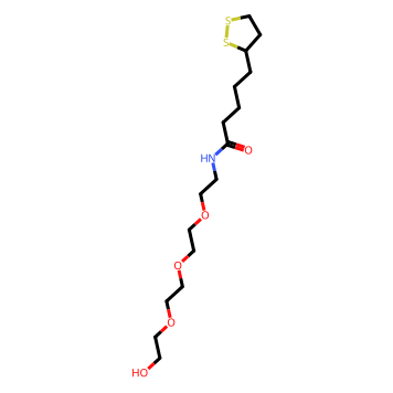 O=C(CCCCC1CCSS1)NCCOCCOCCOCCO